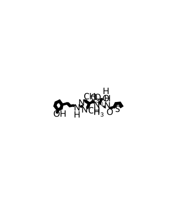 Cc1nc(NCC=Cc2cccc(O)c2)nc(C)c1C(=O)N[C@@H](CNC(=O)c1cccs1)C(=O)O